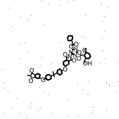 COc1cccc(CO)c1C(=O)Oc1nc(OC(=O)c2ccccc2)nc(N2C(=O)c3ccc(Oc4ccc(C(C)(C)c5ccc(Oc6ccc7c(c6)C(=O)C(C)C7=O)cc5)cc4)cc3C2=O)n1